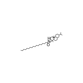 CCCCCCCCCCCCCCCCCC(=O)NCC1(C)CCC[C@]2(C)C3CCC(C(C)C)CC3CCC12